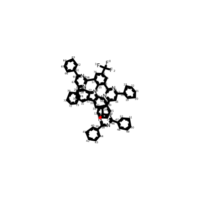 FC(F)(F)c1cc(-c2nc(-c3ccccc3)cc(-c3ccccc3)n2)c(-n2c3ccccc3c3cc(-c4nc(-c5ccccc5)nc(-c5ccccc5)n4)ccc32)c(-c2nc(-c3ccccc3)cc(-c3ccccc3)n2)c1